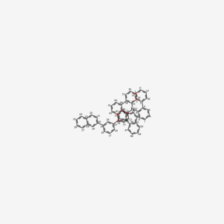 c1ccc(-c2ccccc2N(c2ccc(-c3cccc(-c4ccc5ccccc5c4)c3)cc2)c2ccccc2-c2cccc3oc4c5ccccc5ccc4c23)cc1